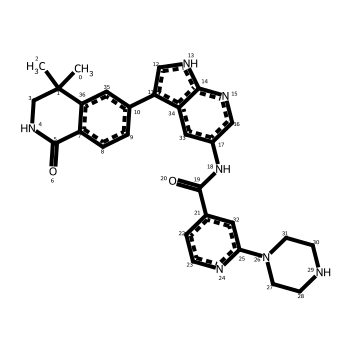 CC1(C)CNC(=O)c2ccc(-c3c[nH]c4ncc(NC(=O)c5ccnc(N6CCNCC6)c5)cc34)cc21